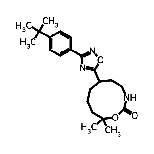 CC1(C)CCCC(c2nc(-c3ccc(C(C)(C)C)cc3)no2)CCNC(=O)O1